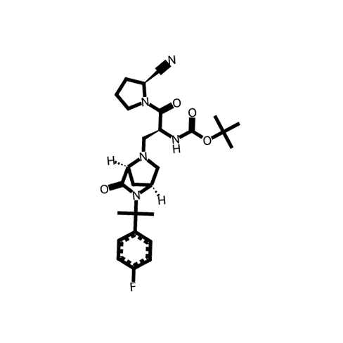 CC(C)(C)OC(=O)N[C@@H](CN1C[C@@H]2C[C@H]1C(=O)N2C(C)(C)c1ccc(F)cc1)C(=O)N1CCC[C@H]1C#N